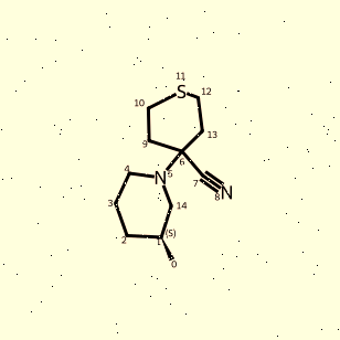 C[C@H]1CCCN(C2(C#N)CCSCC2)C1